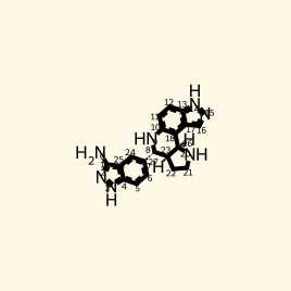 Nc1n[nH]c2ccc([C@@H]3Nc4ccc5[nH]ncc5c4[C@H]4NCC[C@H]43)cc12